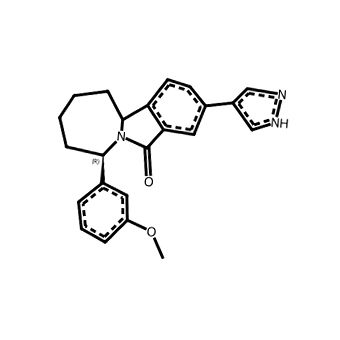 COc1cccc([C@H]2CCCCC3c4ccc(-c5cn[nH]c5)cc4C(=O)N32)c1